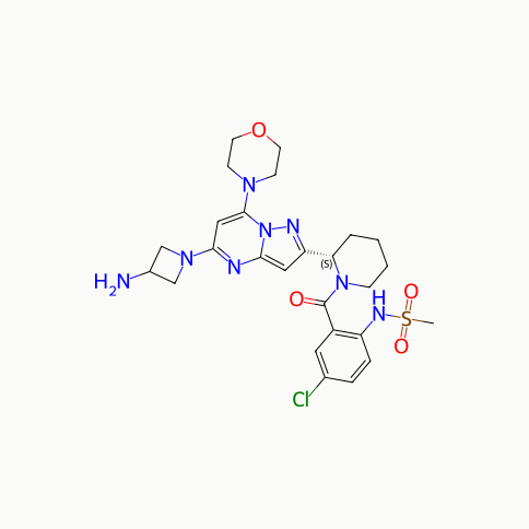 CS(=O)(=O)Nc1ccc(Cl)cc1C(=O)N1CCCC[C@H]1c1cc2nc(N3CC(N)C3)cc(N3CCOCC3)n2n1